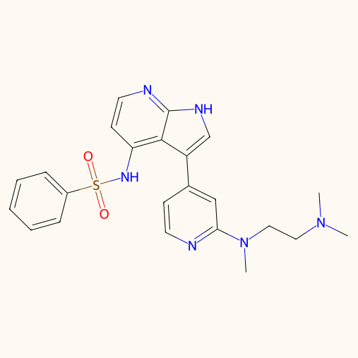 CN(C)CCN(C)c1cc(-c2c[nH]c3nccc(NS(=O)(=O)c4ccccc4)c23)ccn1